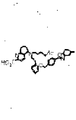 CC(=O)CCCCN(CCc1ccccc1OCc1ccc(-c2nc3cc(C)ccc3o2)cc1)C1CCCc2nc(C(=O)O)ccc21